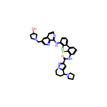 O=C(Nc1cccc(-c2cccc(Nc3nccc4cc(CN5CC[C@@H](O)C5)cnc34)c2Cl)c1Cl)c1cc2n(n1)CCCC2N1CCCC1